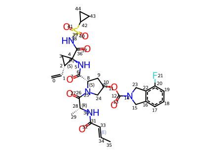 C=C[C@@H]1C[C@]1(NC(=O)[C@@H]1C[C@@H](OC(=O)N2Cc3cccc(F)c3C2)CN1C(=O)[C@@H](C)NC(=O)/C=C/C)C(=O)NS(=O)(=O)C1CC1